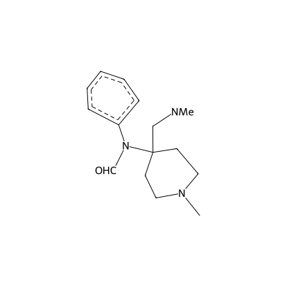 CNCC1(N(C=O)c2ccccc2)CCN(C)CC1